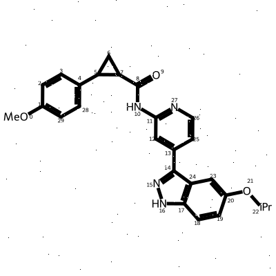 COc1ccc(C2CC2C(=O)Nc2cc(-c3n[nH]c4ccc(OC(C)C)cc34)ccn2)cc1